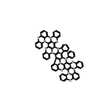 c1ccc(N2c3c4c5c(c6c3B3c7c(cccc7-c7c3c2c2c3ccccc3n3c2c7B2c7ccccc7Sc7c2c-3c2c3c7N7c8ccccc8Sc8cccc(c87)B3c3ccccc3S2)S6)N2c3ccccc3Sc3cccc(c32)B5c2ccccc2S4)cc1